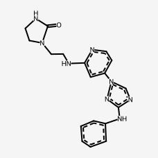 O=C1NCCN1CCNc1cc(-n2cnc(Nc3ccccc3)n2)ccn1